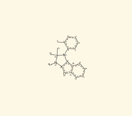 Cc1ccccc1N1c2c(oc3ccccc23)N(C)C1(C)C